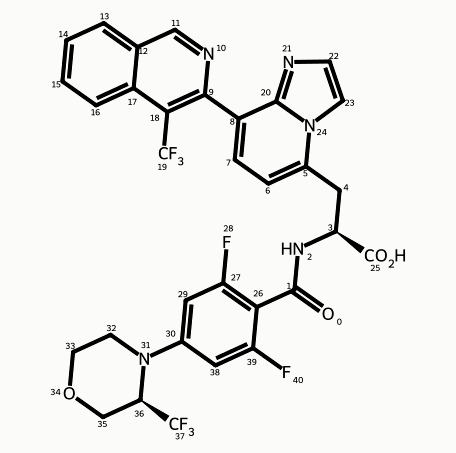 O=C(N[C@@H](Cc1ccc(-c2ncc3ccccc3c2C(F)(F)F)c2nccn12)C(=O)O)c1c(F)cc(N2CCOC[C@@H]2C(F)(F)F)cc1F